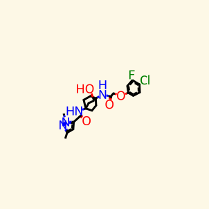 Cc1cc(C(=O)NC23CCC(NC(=O)COc4ccc(Cl)c(F)c4)(CC2)C(O)C3)n(C)n1